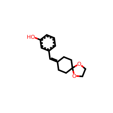 Oc1cccc(C=C2CCC3(CC2)OCCO3)c1